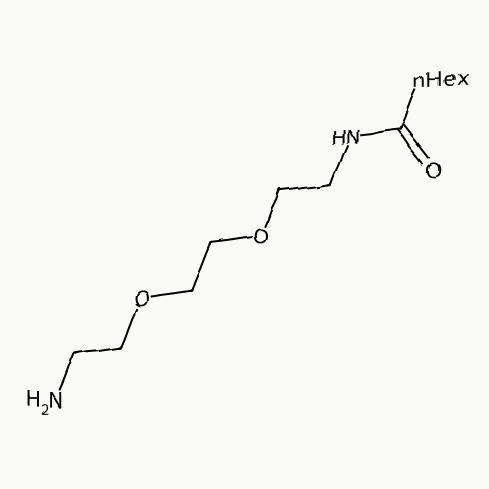 CCCCCCC(=O)NCCOCCOCCN